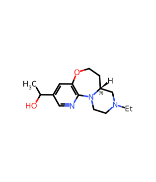 CCN1CCN2c3ncc(C(C)O)cc3OCC[C@@H]2C1